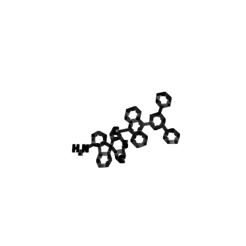 Nc1cccc2c1-c1ccccc1C21c2ccccc2Sc2c(-c3c4ccccc4c(-c4cc(-c5ccccc5)cc(-c5ccccc5)c4)c4ccccc34)cccc21